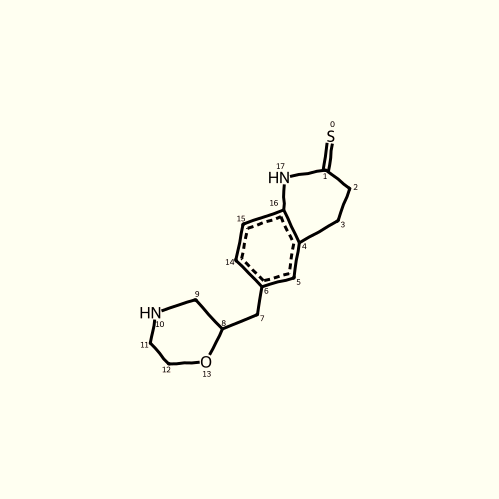 S=C1CCc2cc(CC3CNCCO3)ccc2N1